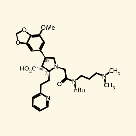 CCCCN(CCCN(C)C)C(=O)CN1C[C@H](c2cc(OC)c3c(c2)OCO3)[C@@H](C(=O)O)[C@@H]1CCc1ccccn1